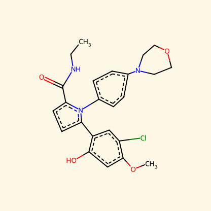 CCNC(=O)c1ccc(-c2cc(Cl)c(OC)cc2O)n1-c1ccc(N2CCOCC2)cc1